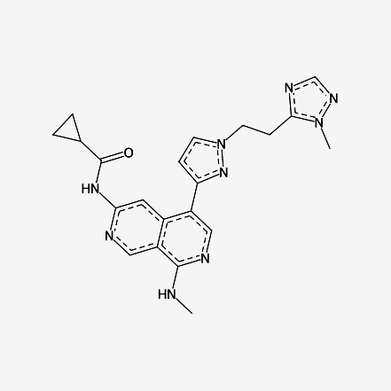 CNc1ncc(-c2ccn(CCc3ncnn3C)n2)c2cc(NC(=O)C3CC3)ncc12